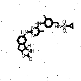 Cc1cc(CNS(=O)(=O)C2CC2)ccc1Nc1nc(Nc2ccc3c(c2)[C@@H]2NC(=O)OC2C3)ncc1C